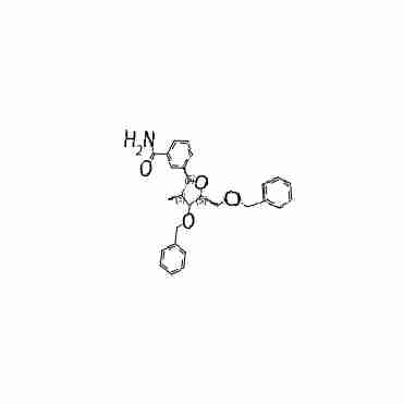 C[C@@H]1C(OCc2ccccc2)[C@H](COCc2ccccc2)O[C@@H]1c1cccc(C(N)=O)c1